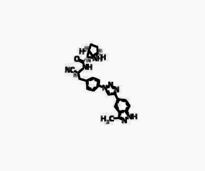 Cc1n[nH]c2ccc(-c3cn(-c4ccc(C[C@@H](C#N)NC(=O)[C@H]5N[C@@H]6CC[C@H]5C6)cc4)nn3)cc12